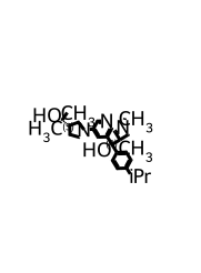 CC(C)c1ccc([C@](O)(c2cncc(N3CC[C@H](C(C)(C)O)C3)c2)C2(C)CN(C)C2)cc1